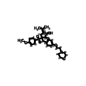 COc1ccc(S(=O)(=O)C(CC=C(C)C)(Cc2ccc(OCCN3CCOCC3)cc2)C(=O)NO)cc1